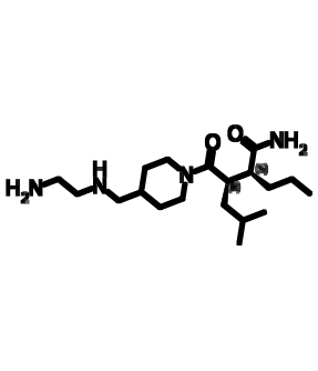 CCC[C@H](C(N)=O)[C@@H](CC(C)C)C(=O)N1CCC(CNCCN)CC1